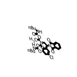 CCCCNC(=O)OC(C)N(CC(c1cccc(Cl)c1)N1C(=O)c2ccccc2C1=O)C(C)OC(=O)NCCCC